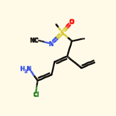 C=C/C(=C\C=C(/N)Cl)C(C)S(C)(=O)=NC#N